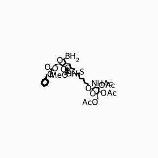 B[C@@H]1O[C@H](COC(=O)OCc2ccccc2)C(OP(=O)(O)OC)[C@@H]1CCCNC(=S)CCCCO[C@@H]1O[C@H](COC(C)=O)[C@H](OC(C)=O)[C@H](OC(C)=O)[C@H]1NC(C)=O